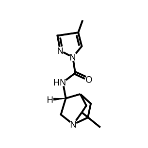 Cc1cnn(C(=O)N[C@H]2CN3CCC2CC3C)c1